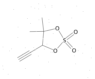 C#CC1OS(=O)(=O)OC1(C)C